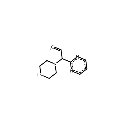 C=CC(c1ncccn1)N1CCNCC1